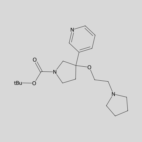 CC(C)(C)OC(=O)N1CCC(OCCN2CCCC2)(c2cccnc2)C1